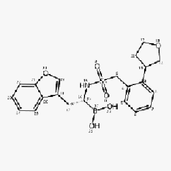 O=S(=O)(Cc1ccccc1C1CCOC1)N[C@@H](Cc1coc2ccccc12)B(O)O